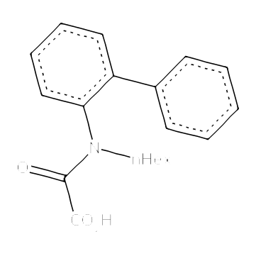 CCCCCCN(C(=O)C(=O)O)c1ccccc1-c1ccccc1